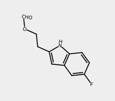 O=COCCc1cc2cc(F)ccc2[nH]1